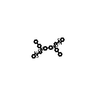 c1ccc(-c2ccc(N(c3ccc(-c4ccc(N(c5ccc(-c6ccccc6)cc5)c5ccc(-c6nc7ccccc7s6)s5)cc4)cc3)c3ccc(-c4nc5ccccc5s4)s3)cc2)cc1